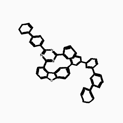 C1=CC(c2ccc(-c3nc(-c4ccccc4)nc(-c4cccc5oc6ccc(-c7cccc(-c8cccc(-c9cccc(C%10=CCCC=C%10)c9)c8)c7)cc6c45)n3)cc2)=CCC1